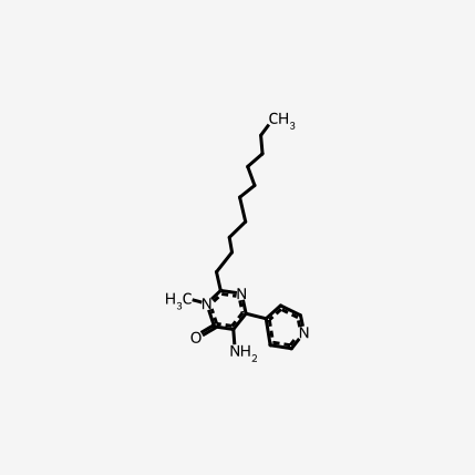 CCCCCCCCCCc1nc(-c2ccncc2)c(N)c(=O)n1C